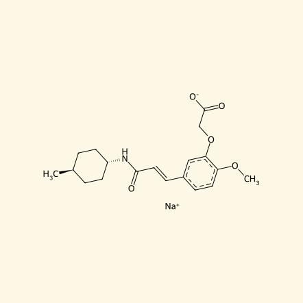 COc1ccc(C=CC(=O)N[C@H]2CC[C@H](C)CC2)cc1OCC(=O)[O-].[Na+]